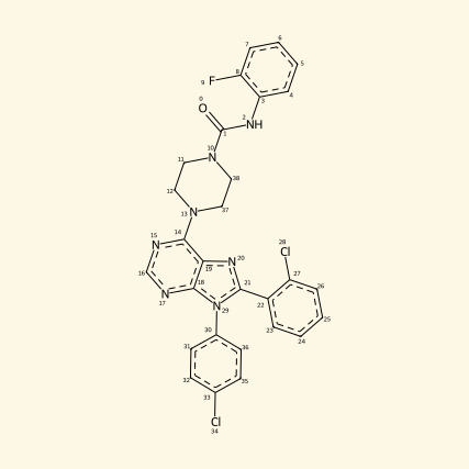 O=C(Nc1ccccc1F)N1CCN(c2ncnc3c2nc(-c2ccccc2Cl)n3-c2ccc(Cl)cc2)CC1